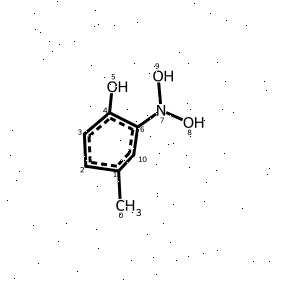 Cc1ccc(O)c(N(O)O)c1